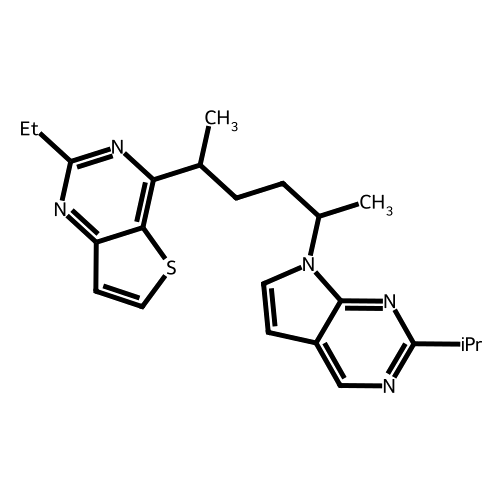 CCc1nc(C(C)CCC(C)n2ccc3cnc(C(C)C)nc32)c2sccc2n1